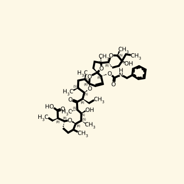 CC[C@@H](C(=O)[C@@H](C)[C@@H](O)[C@H](C)[C@@H]1O[C@@H]([C@@H](CC)C(=O)O)CCC1C)[C@H]1O[C@]2(C=C[C@@H](OC(=O)NCc3ccccc3)[C@]3(CC[C@@](C)([C@H]4CC[C@](O)(CC)[C@H](C)O4)O3)O2)[C@H](C)C[C@@H]1C